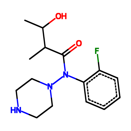 CC(O)C(C)C(=O)N(c1ccccc1F)N1CCNCC1